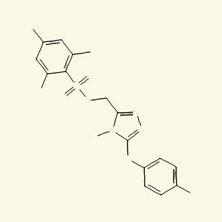 CCn1c(Oc2ccc(F)cc2)nnc1[C@@H](C)NS(=O)(=O)c1c(C)cc(Cl)cc1Cl